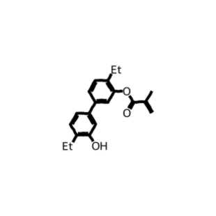 C=C(C)C(=O)Oc1cc(-c2ccc(CC)c(O)c2)ccc1CC